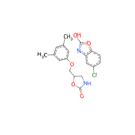 Cc1cc(C)cc(OCC2CNC(=O)O2)c1.Oc1nc2cc(Cl)ccc2o1